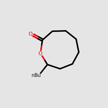 CCCCC1CCCCCCC(=O)O1